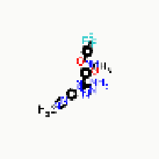 COc1cc(-c2nn([C@H]3CC[C@H](N4CCN(C)CC4)CC3)c3ncnc(N)c23)ccc1NC(=O)c1ccc(C(F)(F)F)cc1